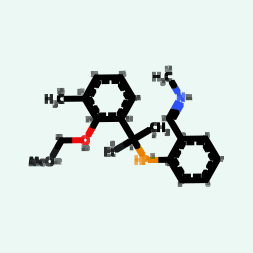 CCC(C)(Pc1ccccc1/C=N/C)c1cccc(C)c1OCOC